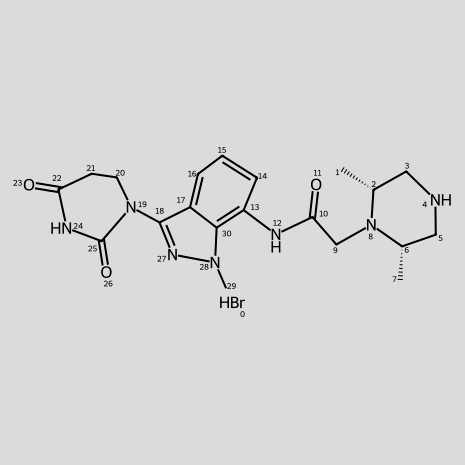 Br.C[C@@H]1CNC[C@H](C)N1CC(=O)Nc1cccc2c(N3CCC(=O)NC3=O)nn(C)c12